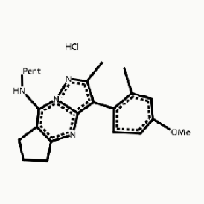 CCCC(C)Nc1c2c(nc3c(-c4ccc(OC)cc4C)c(C)nn13)CCC2.Cl